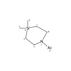 CC(=O)N1CC[Si](C)(C)CC1